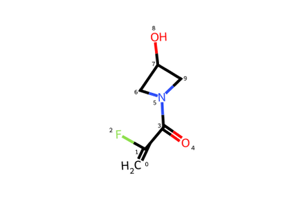 C=C(F)C(=O)N1CC(O)C1